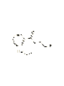 CCO.O=C(CCCF)c1ccccc1